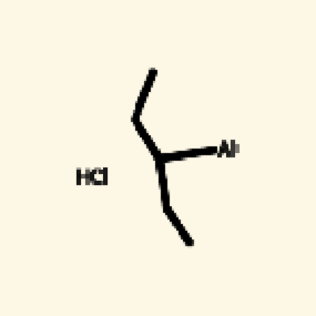 CC[CH]([Al])CC.Cl